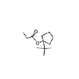 CCC(=O)OC1(C(C)(C)C)CCCC1